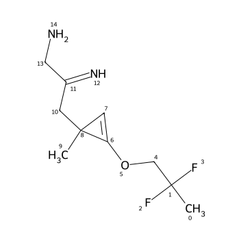 CC(F)(F)COC1=CC1(C)CC(=N)CN